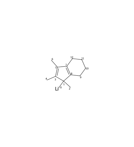 [Li][C]1(C)C(C)=C(C)C2=C1CCCC2